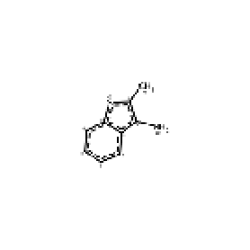 Cc1sc2ccccc2c1N